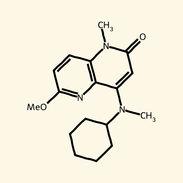 COc1ccc2c(n1)c(N(C)C1CCCCC1)cc(=O)n2C